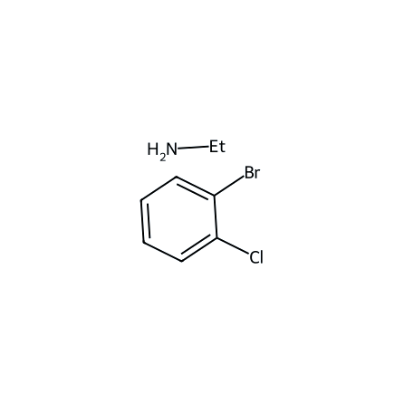 CCN.Clc1ccccc1Br